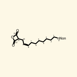 CCCCCCCCCCCCCCCC/C=C\CC1C(=O)OC1=O